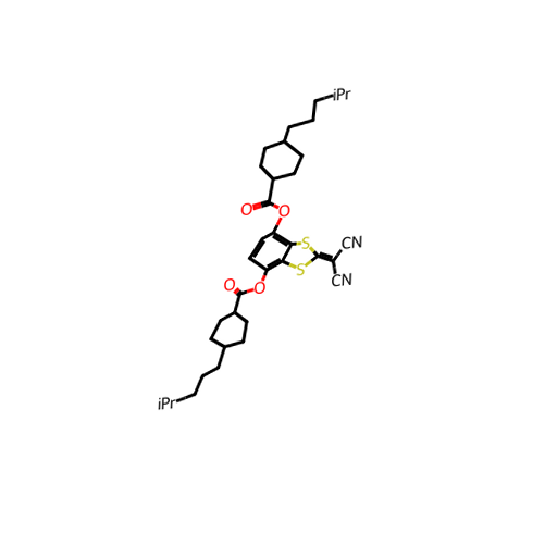 CC(C)CCCC1CCC(C(=O)Oc2ccc(OC(=O)C3CCC(CCCC(C)C)CC3)c3c2SC(=C(C#N)C#N)S3)CC1